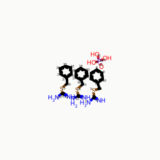 N=C(N)SCc1ccccc1.N=C(N)SCc1ccccc1.N=C(N)SCc1ccccc1.O=P(O)(O)O